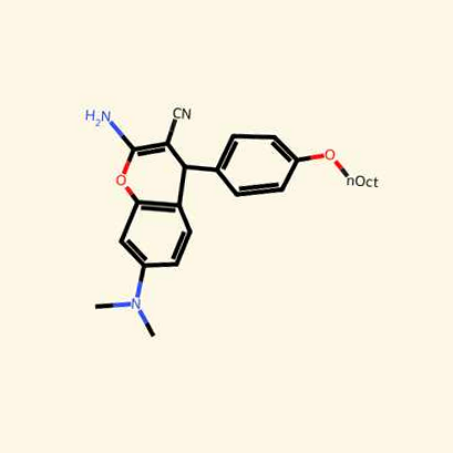 CCCCCCCCOc1ccc(C2C(C#N)=C(N)Oc3cc(N(C)C)ccc32)cc1